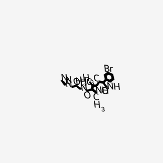 C/C(=C1/C(=O)Nc2ccc(Br)cc21)c1[nH]c(C)c(C(=O)NCC(O)Cn2ccnn2)c1C